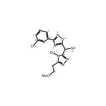 CCn1c(CCOC)nnc1C(S)c1nc(-c2cccc(Cl)c2)no1